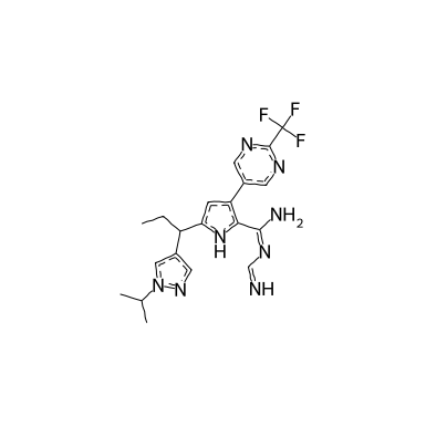 CCC(c1cnn(C(C)C)c1)c1cc(-c2cnc(C(F)(F)F)nc2)c(/C(N)=N\C=N)[nH]1